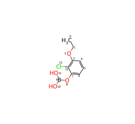 CCOc1cccc(OB(O)O)c1Cl